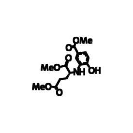 COC(=O)CC[C@H](Nc1cc(C(=O)OC)ccc1O)C(=O)OC